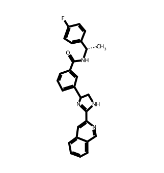 C[C@H](NC(=O)c1cccc(C2CNC(c3cc4ccccc4cn3)=N2)c1)c1ccc(F)cc1